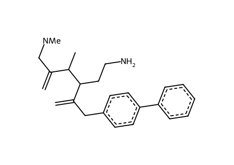 C=C(CNC)C(C)C(CCN)C(=C)Cc1ccc(-c2ccccc2)cc1